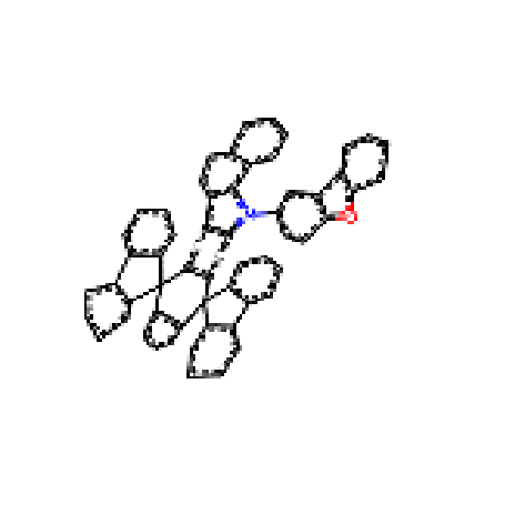 c1ccc2c(c1)-c1ccccc1C21c2ccccc2C2(c3ccccc3-c3ccccc32)c2cc3c(cc21)c1ccc2ccccc2c1n3-c1ccc2oc3ccccc3c2c1